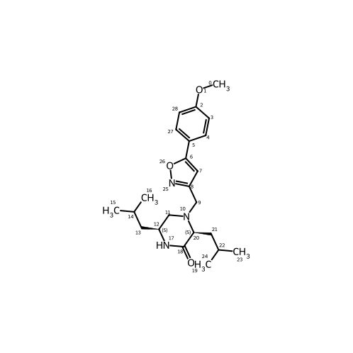 COc1ccc(-c2cc(CN3C[C@H](CC(C)C)NC(=O)[C@@H]3CC(C)C)no2)cc1